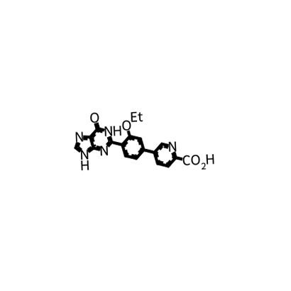 CCOc1cc(-c2ccc(C(=O)O)nc2)ccc1-c1nc2[nH]cnc2c(=O)[nH]1